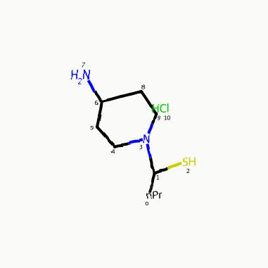 CCCC(S)N1CCC(N)CC1.Cl